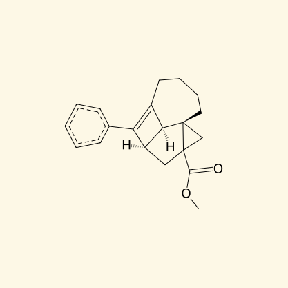 COC(=O)C12C[C@H]3C(c4ccccc4)=C4CCCC[C@]1(C2)[C@H]43